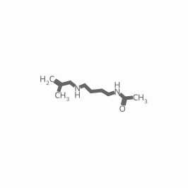 C=C(C)CNCCCCNC(C)=O